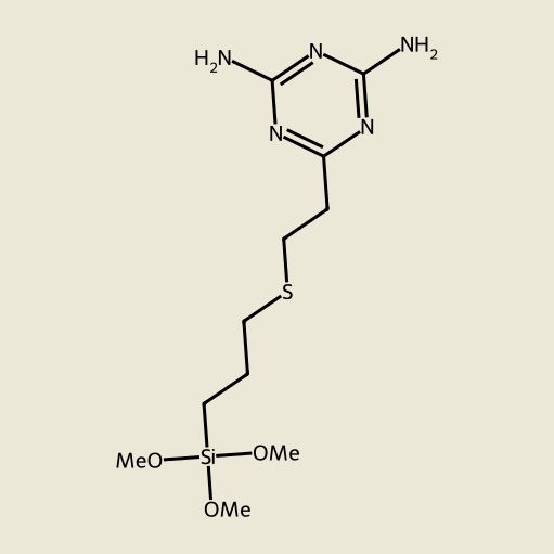 CO[Si](CCCSCCc1nc(N)nc(N)n1)(OC)OC